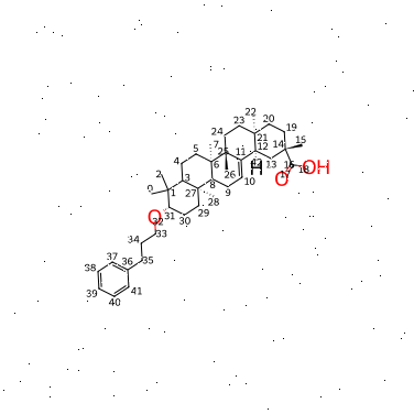 CC1(C)C2CC[C@]3(C)C(CC=C4[C@@H]5C[C@@](C)(C(=O)O)CC[C@]5(C)CC[C@]43C)[C@@]2(C)CC[C@@H]1OCCCc1ccccc1